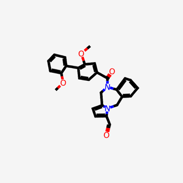 COc1ccccc1-c1ccc(C(=O)N2Cc3ccc(C=O)n3Cc3ccccc32)cc1OC